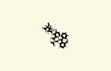 CC[C@@]1(C)C(=O)O[C@](C)(C(=O)Oc2c3n(ccc2=O)N(C2c4ccccc4CSc4ccccc42)CN(C(C)C)C3=O)C1(C)C